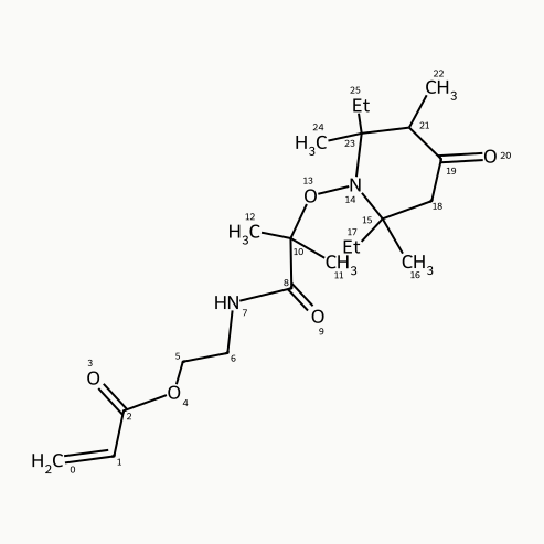 C=CC(=O)OCCNC(=O)C(C)(C)ON1C(C)(CC)CC(=O)C(C)C1(C)CC